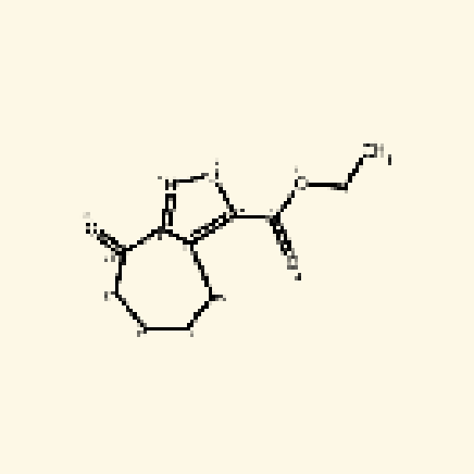 CCOC(=O)c1onc2c1CCCCC2=O